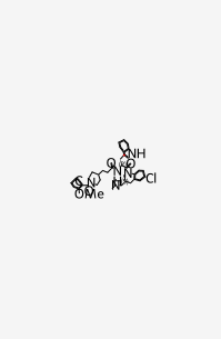 COc1ccccc1C(=O)N1CCC(CCC(=O)N[C@H](Cc2c[nH]c3ccccc23)C(=O)N2C[C@H](CN(C)C)Cc3cc(Cl)ccc32)CC1